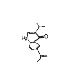 CC(C)c1ccc2[nH]cc(C(C)C)c(=O)c2c1